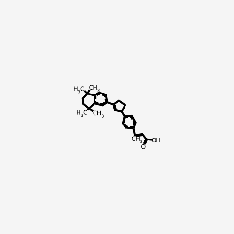 CC(=CC(=O)O)c1ccc(C2C=C(c3ccc4c(c3)C(C)(C)CCC4(C)C)CC2)cc1